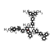 CCC(CC(CC(CC(C)n1c2ccccc2c2ccccc21)c1ccc(-c2ccc(-n3c4ccccc4c4ccccc43)cc2)cc1)c1ccc(-c2ccc(-n3c4ccc(C)cc4c4cc(C)ccc43)cc2)cc1)c1ccc(-c2cccc(-c3nnc(-c4ccc(C(C)(C)C)cc4)o3)c2)cc1